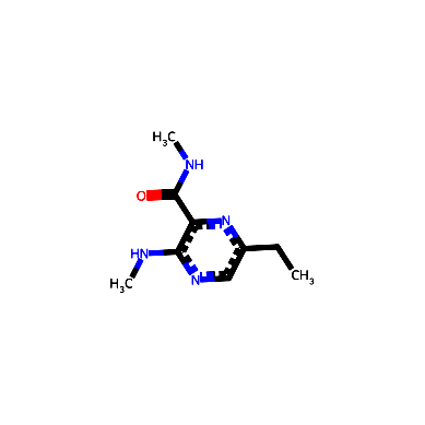 CCc1cnc(NC)c(C(=O)NC)n1